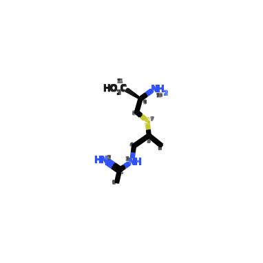 CC(=N)NCC(C)SC[C@H](N)C(=O)O